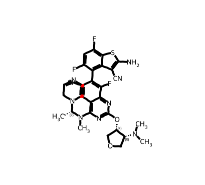 C[C@H](N1C=CN=CC1)N(C)c1nc(O[C@H]2COC[C@H]2N(C)C)nc2c(F)c(-c3c(F)cc(F)c4sc(N)c(C#N)c34)c(Cl)cc12